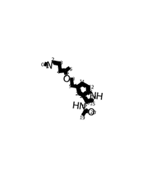 C=N/C=C\C=C(/C)OCCc1ccc2[nH]cc(NC(C)=O)c2c1